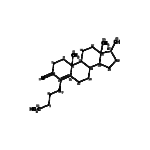 CC12CCC(=O)C(SCCC(=O)O)=C1CCC1C2CCC2(C)C(O)CCC12